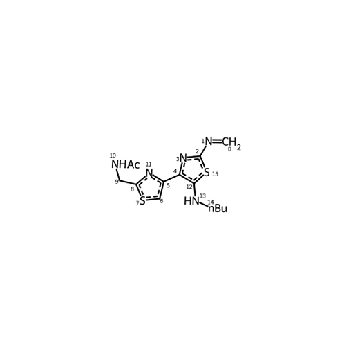 C=Nc1nc(-c2csc(CNC(C)=O)n2)c(NCCCC)s1